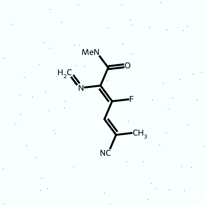 C=N/C(C(=O)NC)=C(F)\C=C(/C)C#N